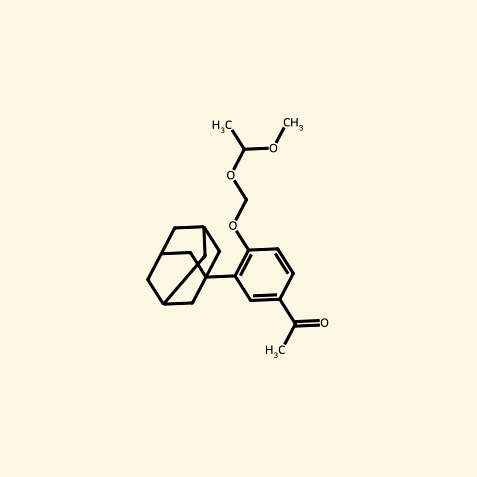 COC(C)OCOc1ccc(C(C)=O)cc1C12CC3CC(CC(C3)C1)C2